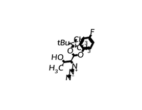 C[C@H](O)[C@H](N=[N+]=[N-])C(Oc1ccc(F)cc1)O[Si](C)(C)C(C)(C)C